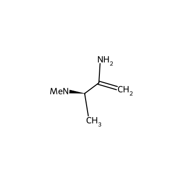 C=C(N)[C@@H](C)NC